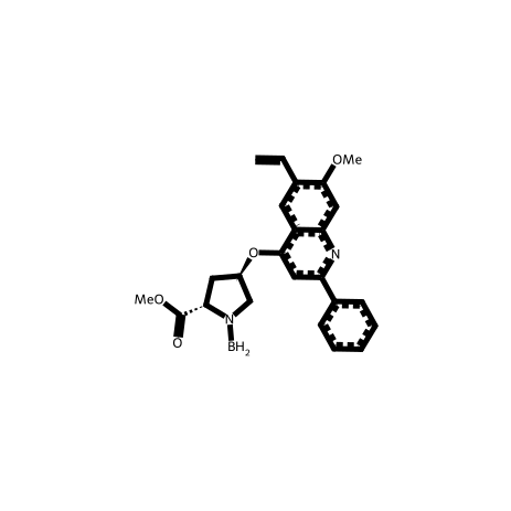 BN1C[C@H](Oc2cc(-c3ccccc3)nc3cc(OC)c(C=C)cc23)C[C@H]1C(=O)OC